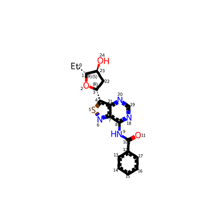 CC[C@H]1O[C@@H](c2snc3c(NC(=O)c4ccccc4)ncnc23)C[C@@H]1O